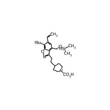 C=Cc1cc(CO[SiH](C)C)c2c(CCC3CCN(C(=O)O)CC3)noc2c1C(C)(C)C